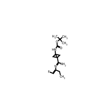 CCC(=C/F)/N=C(\N)C12CC1(NC(=O)OC(C)(C)C)C2